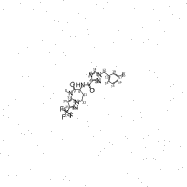 CN1C(=O)[C@@H](NC(=O)c2ncn(Cc3cccc(F)c3)n2)CCn2nc(C(F)(F)F)cc21